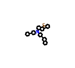 c1ccc(-c2ccc(N(c3ccc(-c4ccc5ccccc5c4)cc3)c3cccc4c3ccc3c5ccccc5sc43)cc2)cc1